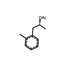 CC(=O)O[C@@H](C)Cc1ccccc1C